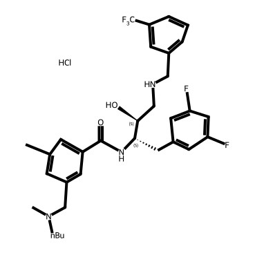 CCCCN(C)Cc1cc(C)cc(C(=O)N[C@@H](Cc2cc(F)cc(F)c2)[C@@H](O)CNCc2cccc(C(F)(F)F)c2)c1.Cl